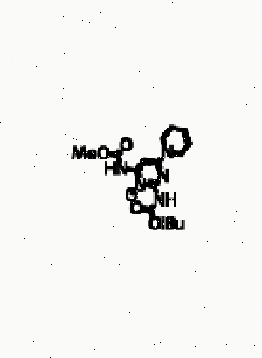 COC(=O)Nc1cc(N2CC=CCC2)nc(NC(=O)OCC(C)C)[n+]1[O-]